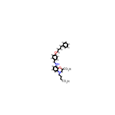 O=C(O)CCCN1CC(C(=O)O)Oc2c(NCc3ccc(OCCCCc4ccccc4)cc3)cccc21